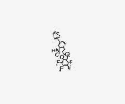 O=C(Oc1c(F)c(F)c(F)c(F)c1F)c1cc2ccc(-c3cccs3)cc2[nH]c1=O